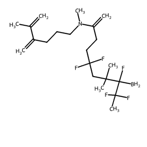 BC(F)(C(C)(F)F)C(C)(C)CC(F)(F)CCC(=C)N(C)CCCC(=C)C(=C)C